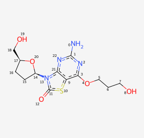 Nc1nc(OCCCO)c2sc(=O)n([C@H]3CC[C@@H](CO)O3)c2n1